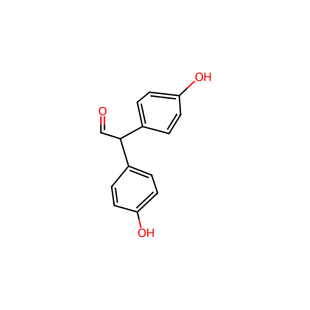 O=CC(c1ccc(O)cc1)c1ccc(O)cc1